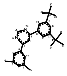 Cc1cc(C)cc(-c2cc(-c3cc(C(C)(C)C)cc(C(C)(C)C)c3)ncn2)c1